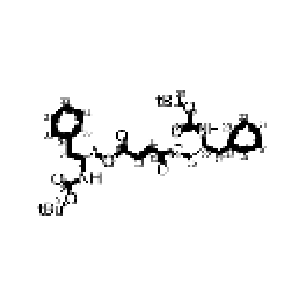 CC(C)(C)OC(=O)N[C@@H](COC(=O)/C=C/C(=O)OC[C@@H](Cc1ccccc1)NC(=O)OC(C)(C)C)Cc1ccccc1